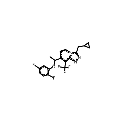 CC(Oc1cc(F)ccc1F)c1ccn2c(CC3CC3)nnc2c1C(F)(F)F